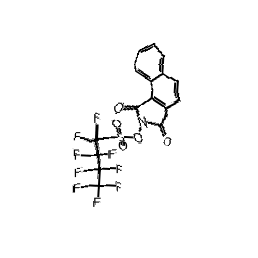 O=C1c2ccc3ccccc3c2C(=O)N1OS(=O)(=O)C(F)(F)C(F)(F)C(F)(F)C(F)(F)F